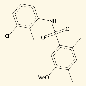 COc1cc(S(=O)(=O)Nc2cccc(Cl)c2C)c(C)cc1C